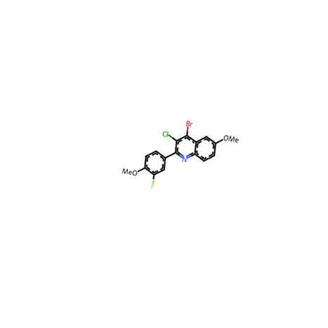 COc1ccc2nc(-c3ccc(OC)c(F)c3)c(Cl)c(Br)c2c1